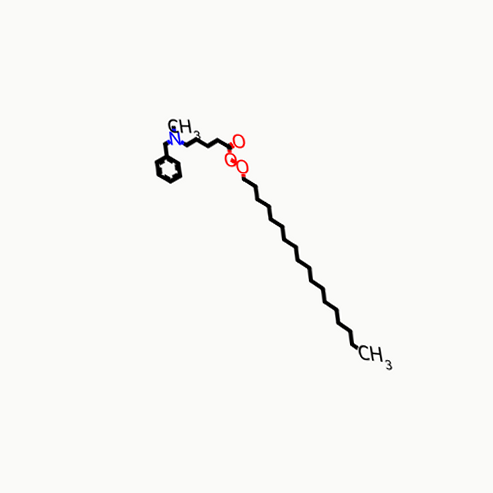 CCCCCCCCCCCCCCCCCCOOC(=O)CCCCN(C)Cc1ccccc1